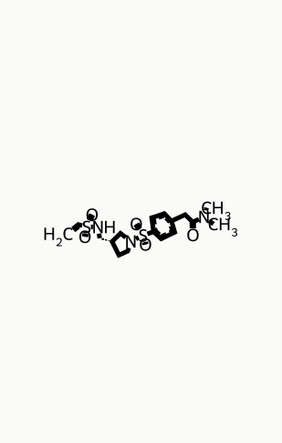 C=CS(=O)(=O)NC[C@H]1CCN(S(=O)(=O)c2ccc(CC(=O)N(C)C)cc2)C1